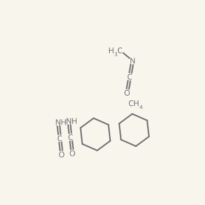 C.C1CCCCC1.C1CCCCC1.CN=C=O.N=C=O.N=C=O